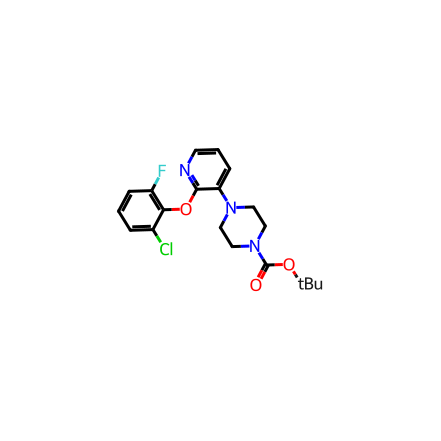 CC(C)(C)OC(=O)N1CCN(c2cccnc2Oc2c(F)cccc2Cl)CC1